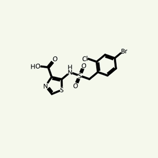 O=C(O)c1ncsc1NS(=O)(=O)Cc1ccc(Br)cc1Cl